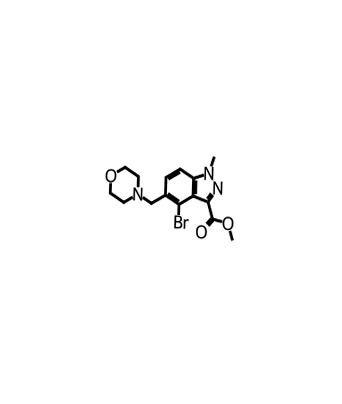 COC(=O)c1nn(C)c2ccc(CN3CCOCC3)c(Br)c12